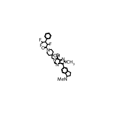 CNC1CCc2cc(-c3c4ncn(CC5(O)CCN(C(=O)C(F)C(c6ccccc6)C(F)F)CC5)c(=O)c4nn3C)ccc21